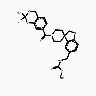 CC(C)(C)OC(=O)NCc1ccc2c(c1)C1(CCN(C(=O)c3ccc4c(c3)OC(C)(C)OC4)CC1)CO2